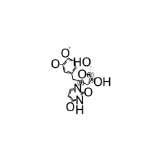 COc1ccc(C[C@]2(n3ccc(=O)[nH]c3=O)C[C@H](O)[C@@H](CO)O2)cc1OC